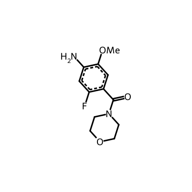 COc1cc(C(=O)N2CCOCC2)c(F)cc1N